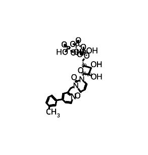 Cc1cccc(-c2ccnc(Cn3c(=O)ccn([C@@H]4O[C@H](COP(=O)(O)OP(=O)(O)OP(=O)(O)O)C(O)[C@@H]4O)c3=O)c2)c1